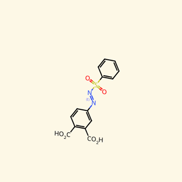 O=C(O)c1ccc(/N=N/S(=O)(=O)c2ccccc2)cc1C(=O)O